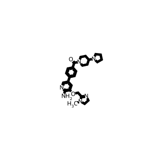 CN1CCN=C1COc1cc(-c2ccc(C(=O)N3CCC(N4CCCC4)CC3)cc2)cnc1N